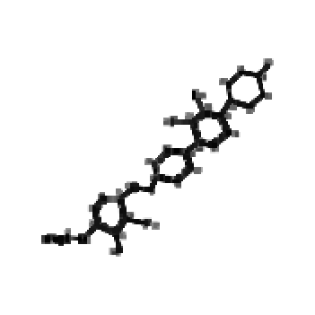 CCCCCCCOc1ccc(OCc2ccc(-c3ccc(C4CCC(C)CC4)c(F)c3F)cc2)c(F)c1F